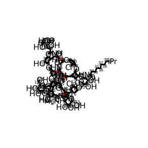 CC(=O)N[C@H]1[C@H](O[C@@H]2c3ccc(c(Cl)c3)Oc3cc4cc(c3O[C@@H]3O[C@H](CO)[C@@H](O)[C@H](O)[C@H]3NC(=O)CCCCCCCC(C)C)Oc3ccc(cc3Cl)C[C@H]3NC(=O)[C@H](NC(=O)CCC(P(=O)(O)O)P(=O)(O)O)c5ccc(O)c(c5)Oc5cc(O)cc(c5)[C@H](NC3=O)C(=O)N[C@H]4C(=O)N[C@H]3C(=O)N[C@@H]2C(=O)N[C@@H](C(=O)O)c2cc(O)cc(O[C@H]4O[C@H](CO)[C@@H](O)[C@H](O)[C@@H]4O)c2-c2cc3ccc2O)O[C@H](CO)[C@@H](O)[C@@H]1O